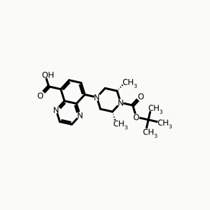 C[C@@H]1CN(c2ccc(C(=O)O)c3nccnc23)C[C@H](C)N1C(=O)OC(C)(C)C